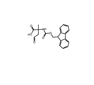 CC(CC=O)(NC(=O)OCC1c2ccccc2-c2ccccc21)C(=O)O